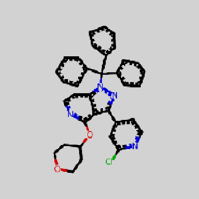 Clc1cc(-c2nn(C(c3ccccc3)(c3ccccc3)c3ccccc3)c3ccnc(OC4CCOCC4)c23)ccn1